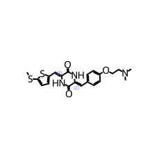 CSc1ccc(/C=c2\[nH]c(=O)/c(=C/c3ccc(OCCN(C)C)cc3)[nH]c2=O)s1